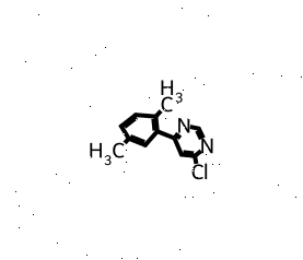 Cc1ccc(C)c(-c2cc(Cl)ncn2)c1